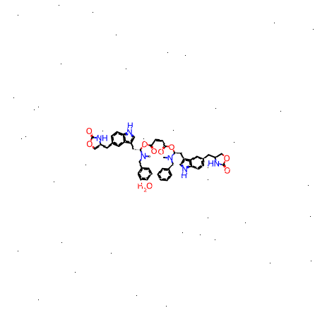 CN(Cc1ccccc1)[C@H](Cc1c[nH]c2ccc(CC3COC(=O)N3)cc12)OC(=O)/C=C\C(=O)O[C@@H](Cc1c[nH]c2ccc(CC3COC(=O)N3)cc12)N(C)Cc1ccccc1.O